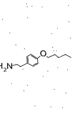 CCCCCOc1ccc(CCN)cc1